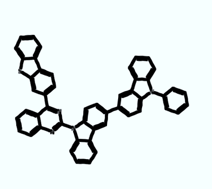 c1ccc(-n2c3ccccc3c3cc(-c4ccc5c(c4)c4ccccc4n5-c4nc(-c5ccc6c(c5)sc5ccccc56)c5ccccc5n4)ccc32)cc1